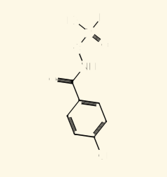 Cc1ccc(C(=O)NOP(=O)(O)F)cc1